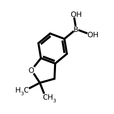 CC1(C)Cc2cc(B(O)O)ccc2O1